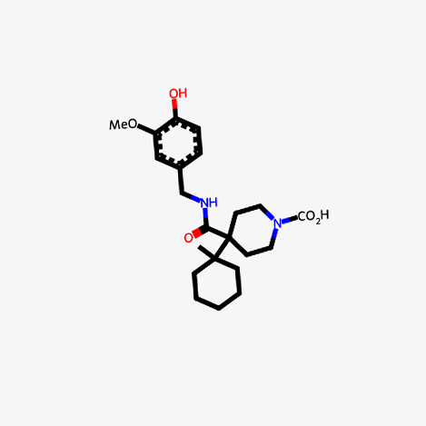 COc1cc(CNC(=O)C2(C3(C)CCCCC3)CCN(C(=O)O)CC2)ccc1O